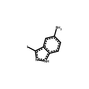 Bc1ccc2[nH]nc(I)c2c1